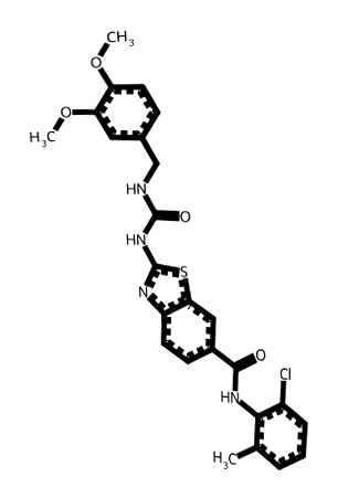 COc1ccc(CNC(=O)Nc2nc3ccc(C(=O)Nc4c(C)cccc4Cl)cc3s2)cc1OC